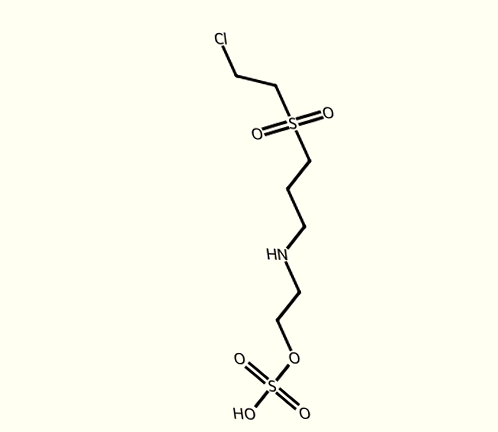 O=S(=O)(CCCl)CCCNCCOS(=O)(=O)O